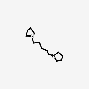 C(CCN1CCCC1)CCN1CCCC1